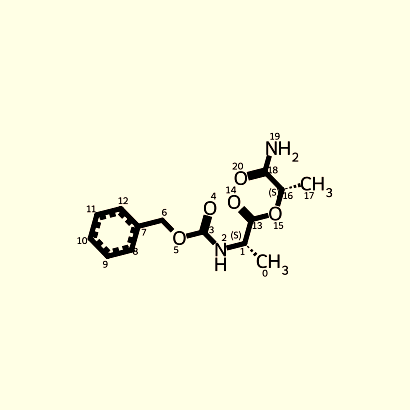 C[C@H](NC(=O)OCc1ccccc1)C(=O)O[C@@H](C)C(N)=O